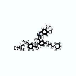 CCN(CC)CCN(C)Cc1cccc(C(=O)Nc2ccc(OCCCN3CCCCC3)cc2C(=O)N/N=C\c2ccc(Cl)c(C(F)(F)F)c2)c1